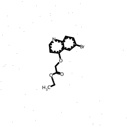 CCOC(=O)COc1ccnc2ccc(Br)cc12